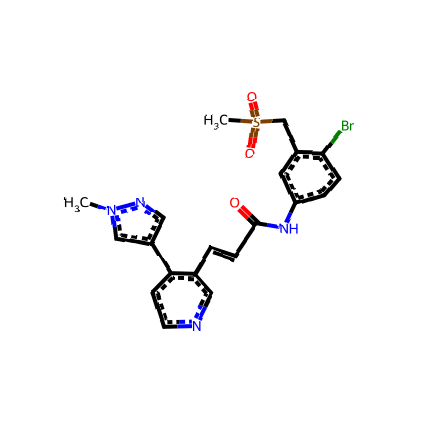 Cn1cc(-c2ccncc2/C=C/C(=O)Nc2ccc(Br)c(CS(C)(=O)=O)c2)cn1